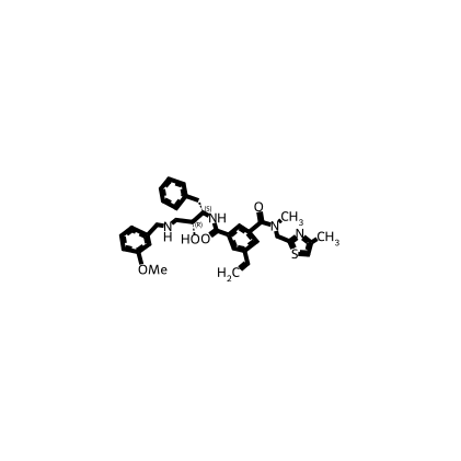 C=Cc1cc(C(=O)N[C@@H](Cc2ccccc2)[C@H](O)CNCc2cccc(OC)c2)cc(C(=O)N(C)Cc2nc(C)cs2)c1